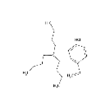 C=Cc1ccccc1.CCCCN(CCCC)CCCC.Cl